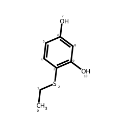 CCSc1ccc(O)cc1O